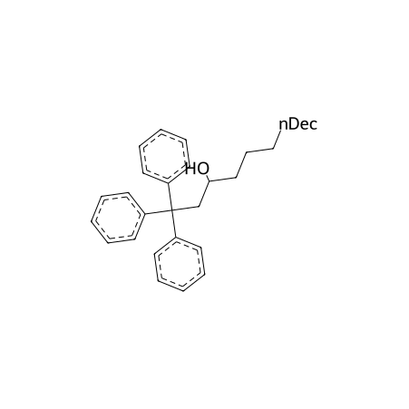 CCCCCCCCCCCCCC(O)CC(c1ccccc1)(c1ccccc1)c1ccccc1